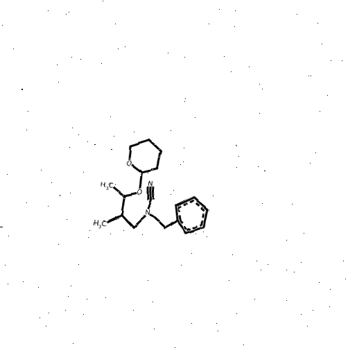 CC(CN(C#N)Cc1ccccc1)C(C)OC1CCCCO1